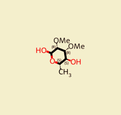 CO[C@@H]1[C@@H](O)[C@H](C)OC(O)[C@@H]1OC